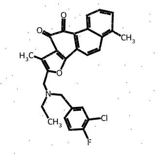 CCN(Cc1ccc(F)c(Cl)c1)Cc1oc2c(c1C)C(=O)C(=O)c1c-2ccc2c(C)cccc12